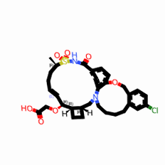 C[C@@H]1CC/C=C/[C@H](OCC(=O)O)[C@@H]2CC[C@H]2CN2CCCCc3cc(Cl)ccc3COc3ccc(cc32)C(=O)NS1(=O)=O